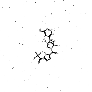 O=C(c1ccc(C(=O)C(F)(F)F)s1)N1C[C@@H]2C[C@H]1CN2c1cccc(Cl)c1